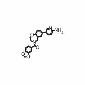 Nc1ccc(-c2ccc3c(c2)CN(C(=O)c2ccc4c(c2)OCO4)CCO3)cn1